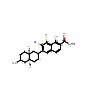 CCCCC1CC[C@@H]2CC(c3cc4ccc(C(=O)OC)c(F)c4c(F)c3F)CC[C@H]2C1